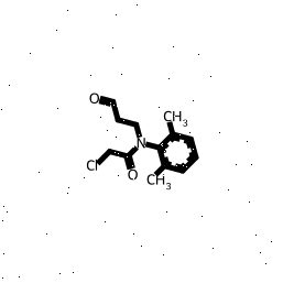 Cc1cccc(C)c1N(CCC=O)C(=O)CCl